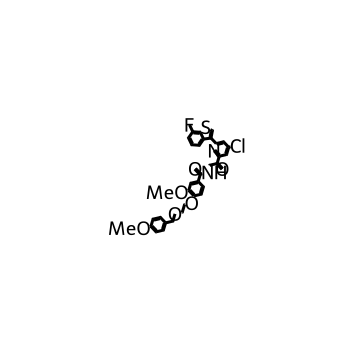 COc1ccc(COCCOc2ccc(C(=O)NCC(=O)c3cc(Cl)cc(-c4csc5c(F)cccc45)n3)cc2OC)cc1